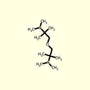 CN(C)C(C)(C)COCC(C)(C)N(C)C